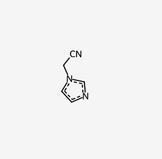 N#CCn1ccnc1